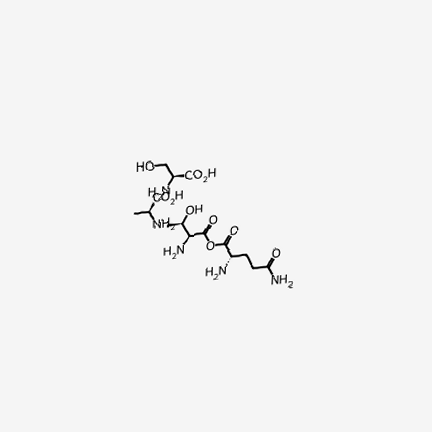 C[C@@H](O)[C@H](N)C(=O)OC(=O)[C@@H](N)CCC(N)=O.C[C@H](N)C(=O)O.N[C@@H](CO)C(=O)O